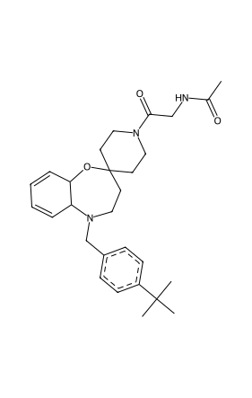 CC(=O)NCC(=O)N1CCC2(CC1)CCN(Cc1ccc(C(C)(C)C)cc1)C1C=CC=CC1O2